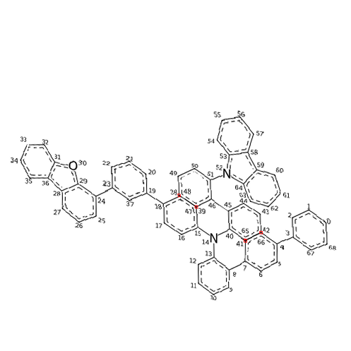 c1ccc(-c2ccc(-c3ccccc3N(c3ccc(-c4cccc(-c5cccc6c5oc5ccccc56)c4)cc3)c3ccccc3-c3ccccc3-n3c4ccccc4c4ccccc43)cc2)cc1